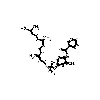 CC(C)=CCCC(C)=CCCC(C)=CCSC(C)(C)Sc1ccc(OC(=O)c2cccnc2)c(C)c1